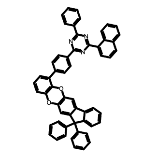 c1ccc(-c2nc(-c3ccc(-c4cccc5c4Oc4cc6c(cc4O5)C(c4ccccc4)(c4ccccc4)c4ccccc4-6)cc3)nc(-c3cccc4ccccc34)n2)cc1